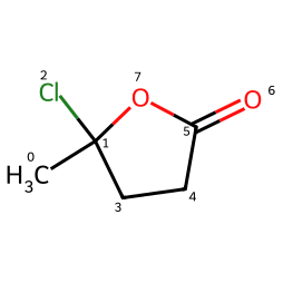 CC1(Cl)CCC(=O)O1